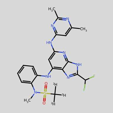 [2H]C([2H])([2H])S(=O)(=O)N(C)c1ccccc1Nc1cc(Nc2cc(C)nc(C)n2)nc2[nH]c(C(F)F)nc12